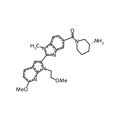 COCCn1c(-c2nc3cc(C(=O)N4CCC[C@@H](N)C4)ccc3n2C)cc2ccc(OC)nc21